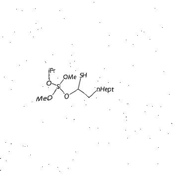 CCCCCCCCC(S)O[Si](OC)(OC)OC(C)C